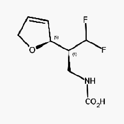 O=C(O)NC[C@H](C(F)F)[C@@H]1C=CCO1